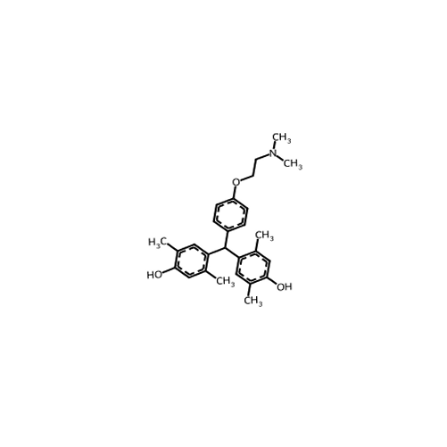 Cc1cc(C(c2ccc(OCCN(C)C)cc2)c2cc(C)c(O)cc2C)c(C)cc1O